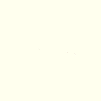 N#[N+]c1ccc(Nc2ccccc2)cc1.O=P([O-])(O)O